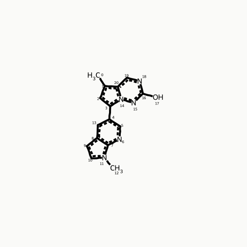 Cc1cc(-c2cnc3c(ccn3C)c2)n2nc(O)ncc12